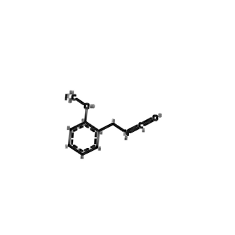 O=C=NCc1ccccc1OC(F)(F)F